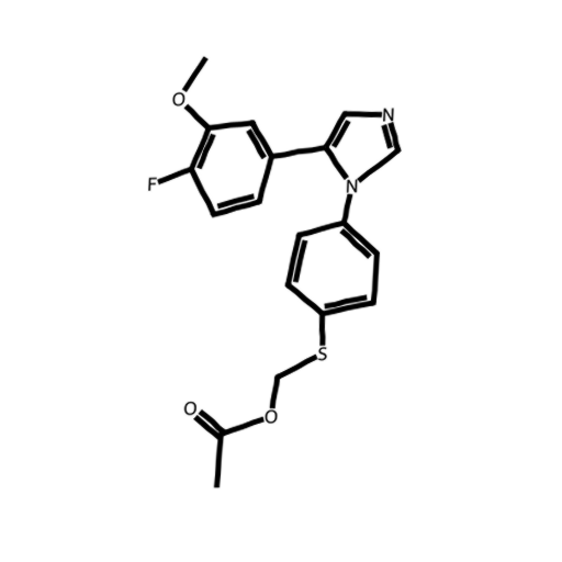 COc1cc(-c2cncn2-c2ccc(SCOC(C)=O)cc2)ccc1F